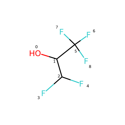 O[C](C(F)F)C(F)(F)F